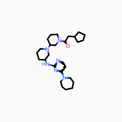 O=C(CC1CCCC1)N1CCCC(N2CCCC(Nc3nccc(N4CCCCCC4)n3)C2)C1